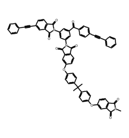 CN1C(=O)c2ccc(Oc3ccc(C(C)(C)c4ccc(Oc5ccc6c(c5)C(=O)N(c5cc(C(=O)c7ccc(C#Cc8ccccc8)cc7)cc(N7C(=O)c8ccc(C#Cc9ccccc9)cc8C7=O)c5)C6=O)cc4)cc3)cc2C1=O